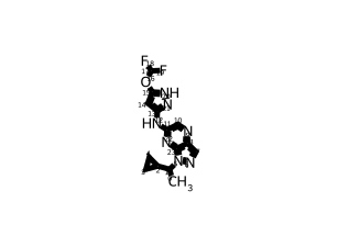 CC(C1CC1)n1ncc2ncc(Nc3cc(OC(F)F)[nH]n3)nc21